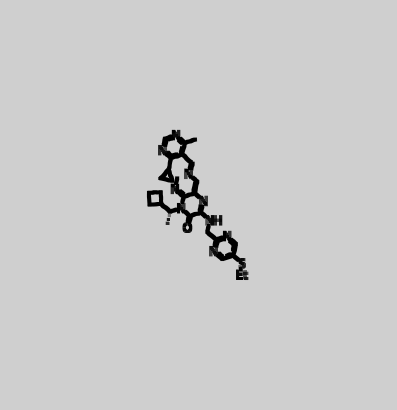 CCSc1cnc(CNC2=NC(=C/N=C/c3c(C)ncnc3C3CC3)/C(=N\C)N([C@H](C)C3CCC3)C2=O)nc1